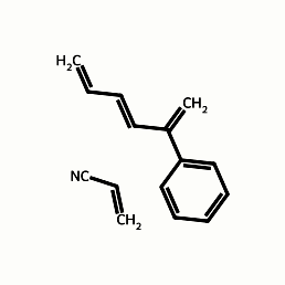 C=CC#N.C=CC=CC(=C)c1ccccc1